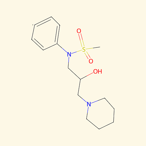 CS(=O)(=O)N(CC(O)CN1CCCCC1)c1cc[c]cc1